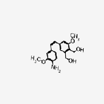 COc1cc(/C=C\c2cc(CO)c(CO)c(OC)c2)ccc1N